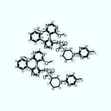 COc1ncnc(OC)c1-n1c(NS(=O)(=O)C2CCCN(c3ncc(C)cn3)C2)nnc1-c1ccccc1.COc1ncnc(OC)c1-n1c(NS(=O)(=O)[C@@H]2CCCN(c3ncc(C)cn3)C2)nnc1-c1ccccc1